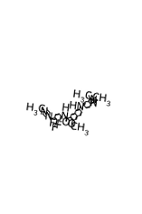 COc1cc2ccc(Nc3ccc4nn(C)c(C)c4c3)cc2cc1C(=O)Nc1ccc(CN2CCN(C)CC2)c(C(F)(F)F)c1